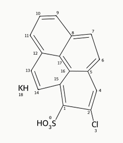 O=S(=O)(O)c1c(Cl)cc2ccc3cccc4ccc1c2c34.[KH]